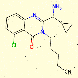 N#CCCCCn1c(C(N)C2CC2)nc2cccc(Cl)c2c1=O